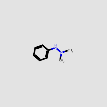 CN(C)Nc1c[c]ccc1